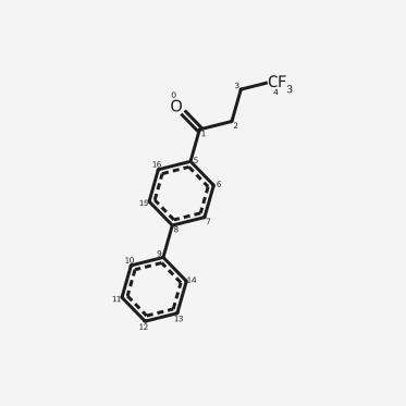 O=C(CCC(F)(F)F)c1ccc(-c2ccccc2)cc1